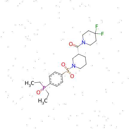 CCP(=O)(CC)c1ccc(S(=O)(=O)N2CCC[C@@H](C(=O)N3CCC(F)(F)CC3)C2)cc1